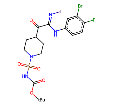 CC(C)(C)OC(=O)NS(=O)(=O)N1CCC(C(=O)/C(=N/I)Nc2ccc(F)c(Br)c2)CC1